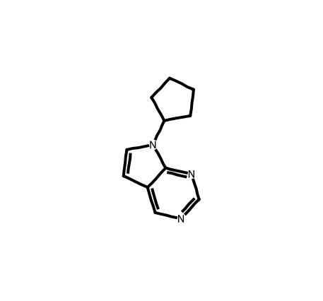 c1ncc2ccn(C3CCCC3)c2n1